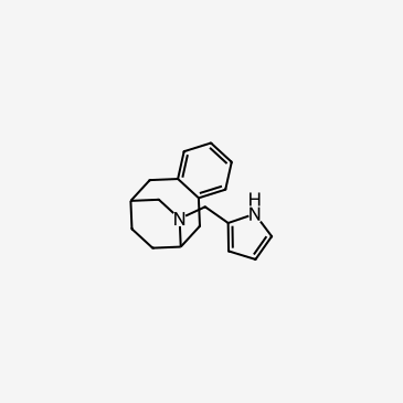 c1c[nH]c(CN2CC3CCC2Cc2ccccc2C3)c1